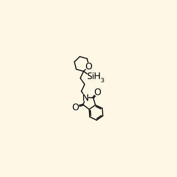 O=C1c2ccccc2C(=O)N1CCCC1([SiH3])CCCCO1